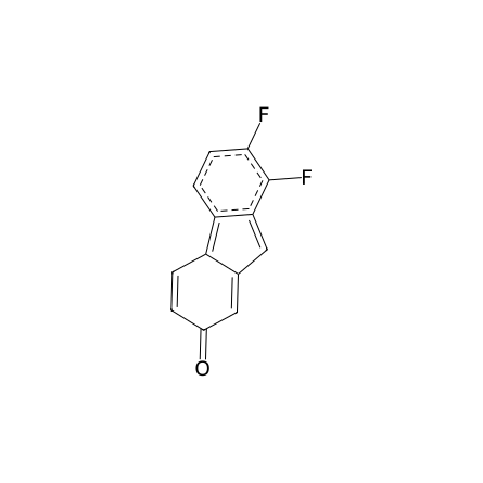 O=C1C=CC2=c3ccc(F)c(F)c3=CC2=C1